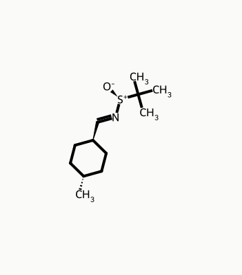 CC(C)(C)[S@+]([O-])/N=C/[C@H]1CC[C@H](C)CC1